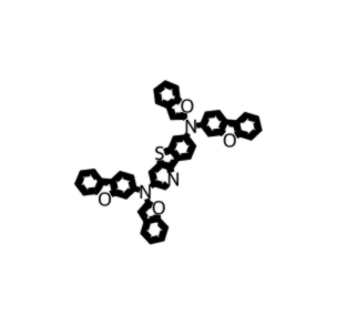 c1ccc2oc(N(c3ccc4c(c3)oc3ccccc34)c3ccc4c(c3)sc3cc(N(c5ccc6c(c5)oc5ccccc56)c5cc6ccccc6o5)cnc34)cc2c1